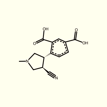 CN1C[C@H](c2ccc(C(=O)O)cc2C(=O)O)[C@@H](C#N)C1